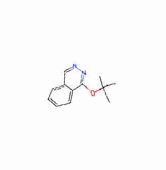 CC(C)(C)Oc1nncc2ccccc12